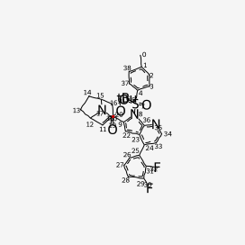 Cc1ccc(S(=O)(=O)n2c(C3=CC4CCC(C3)N4C(=O)OC(C)(C)C)cc3c(-c4cccc(F)c4F)ccnc32)cc1